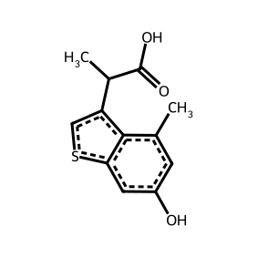 Cc1cc(O)cc2scc(C(C)C(=O)O)c12